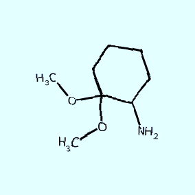 COC1(OC)CCCCC1N